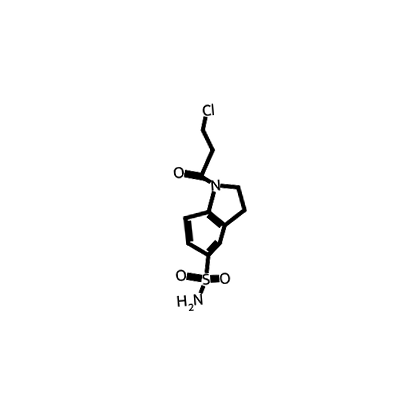 NS(=O)(=O)c1ccc2c(c1)CCN2C(=O)CCCl